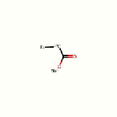 [13CH3]C[13CH2]C(=O)[O-].[Na+]